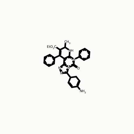 CCOC(=O)C1=C(c2ccccc2)c2c(n(-c3ccccc3)c(=O)n3c(C4C=CC(N)=CC4)nnc23)NC1C